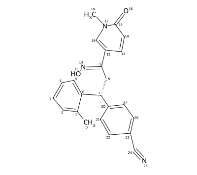 Cc1ccccc1[C@H](C/C(=N\O)c1ccc(=O)n(C)c1)c1ccc(C#N)cc1